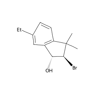 CCc1ccc2c(c1)[C@@H](O)[C@H](Br)C2(C)C